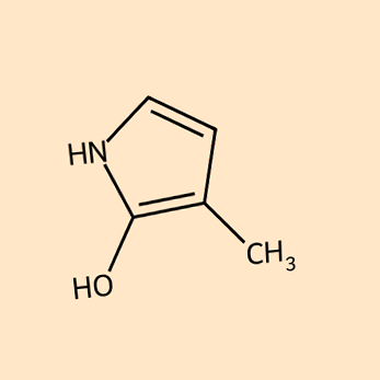 Cc1cc[nH]c1O